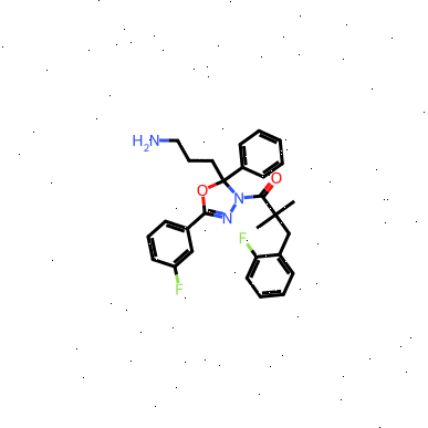 CC(C)(Cc1ccccc1F)C(=O)N1N=C(c2cccc(F)c2)OC1(CCCN)c1ccccc1